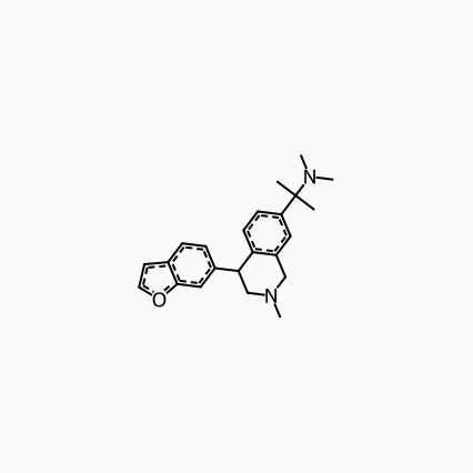 CN1Cc2cc(C(C)(C)N(C)C)ccc2C(c2ccc3ccoc3c2)C1